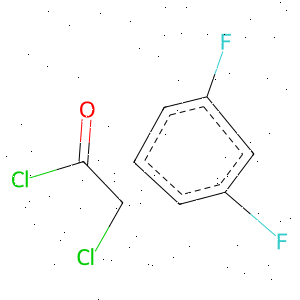 Fc1cccc(F)c1.O=C(Cl)CCl